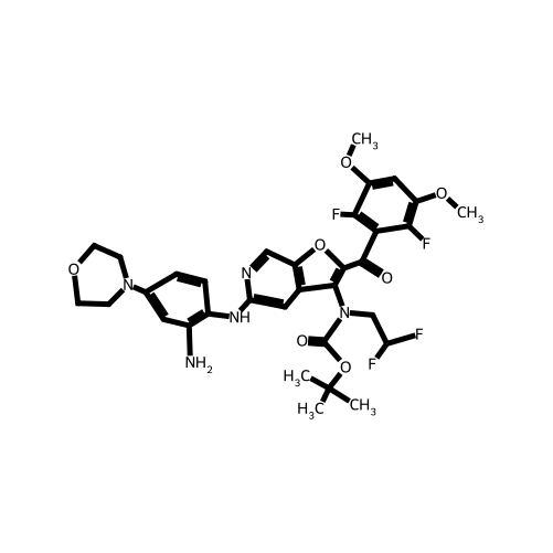 COc1cc(OC)c(F)c(C(=O)c2oc3cnc(Nc4ccc(N5CCOCC5)cc4N)cc3c2N(CC(F)F)C(=O)OC(C)(C)C)c1F